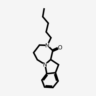 CCCCCN1CCCN2c3ccccc3CC2C1=O